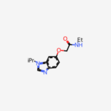 CCNC(=O)COc1ccc2ncn(C(C)C)c2c1